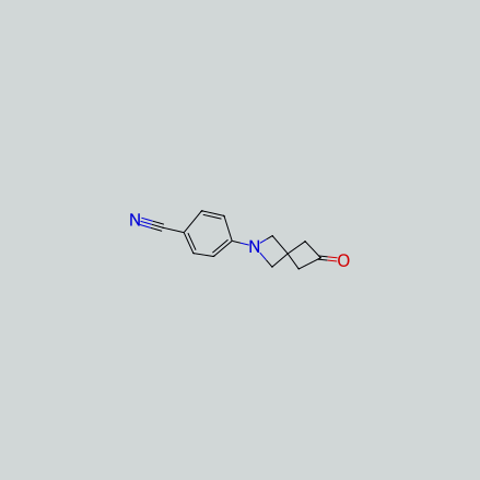 N#Cc1ccc(N2CC3(CC(=O)C3)C2)cc1